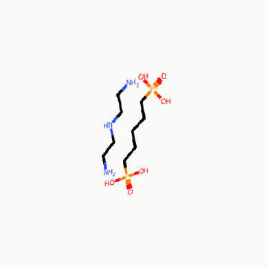 NCCNCCN.O=P(O)(O)CCCCCP(=O)(O)O